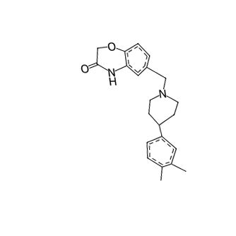 Cc1ccc(C2CCN(Cc3ccc4c(c3)NC(=O)CO4)CC2)cc1C